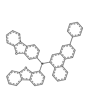 c1ccc(-c2ccc3c(c2)cc(N(c2ccc4c(c2)oc2ccccc24)c2cccc4c2oc2ccccc24)c2ccccc23)cc1